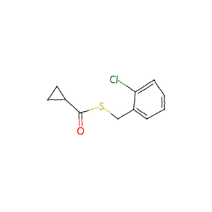 O=C(SCc1ccccc1Cl)C1CC1